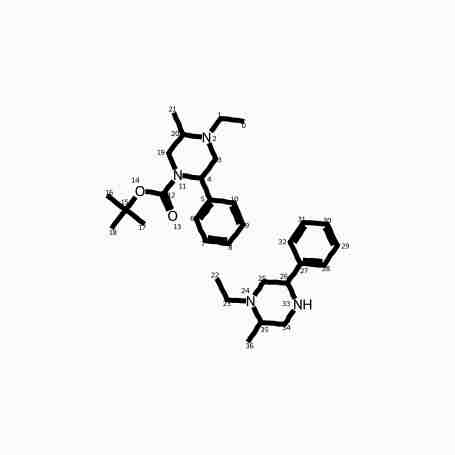 CCN1CC(c2ccccc2)N(C(=O)OC(C)(C)C)CC1C.CCN1CC(c2ccccc2)NCC1C